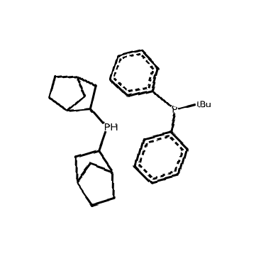 C1CC2CC1CC2PC1CC2CCC1C2.CC(C)(C)P(c1ccccc1)c1ccccc1